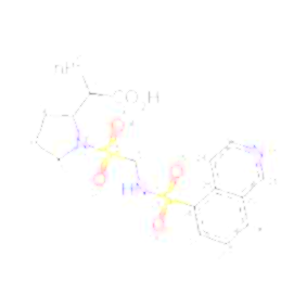 CCCC(C(=O)O)C1CCCN1S(=O)(=O)CNS(=O)(=O)c1cccc2cnccc12